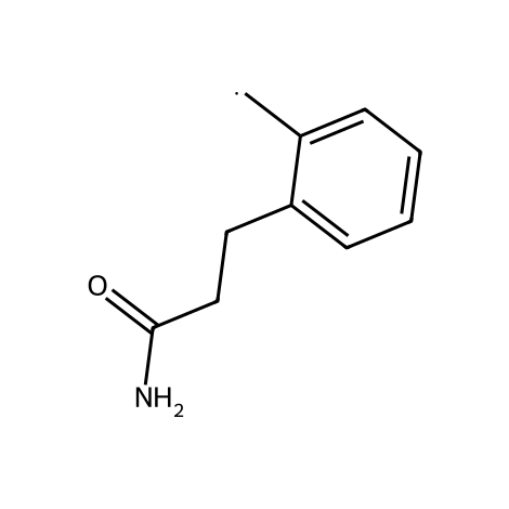 [CH2]c1ccccc1CCC(N)=O